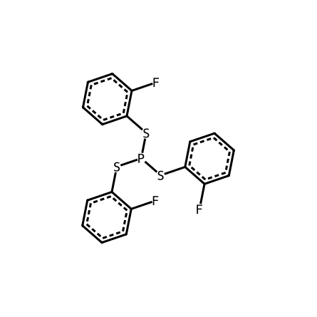 Fc1ccccc1SP(Sc1ccccc1F)Sc1ccccc1F